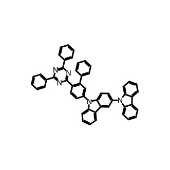 c1ccc(-c2nc(-c3ccccc3)nc(-c3ccc(-n4c5ccccc5c5cc(-n6c7ccccc7c7ccccc76)ccc54)cc3-c3ccccc3)n2)cc1